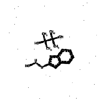 CC(C)(O)C(C)(C)O.OBOc1cc2ccccc2s1